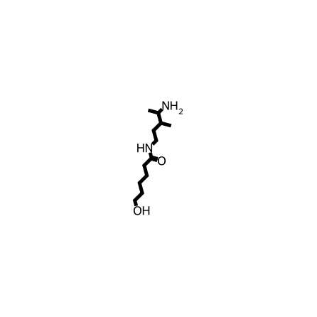 CC(N)C(C)CCNC(=O)CCCCCO